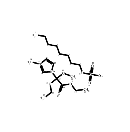 CCCCCCCCOS(=O)(=O)[O-].CCOC(=O)C(OC)(OCC)n1cc[n+](C)c1